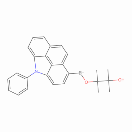 CC(C)(O)C(C)(C)OBc1ccc2c3c1ccc1cccc(c13)n2-c1ccccc1